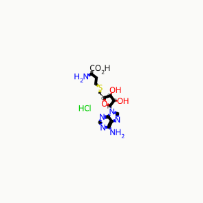 Cl.Nc1ncnc2c1ncn2[C@@H]1O[C@H](CSCCC(N)C(=O)O)[C@@H](O)[C@H]1O